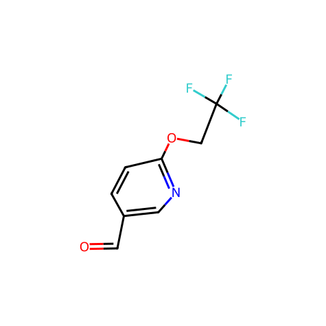 O=Cc1ccc(OCC(F)(F)F)nc1